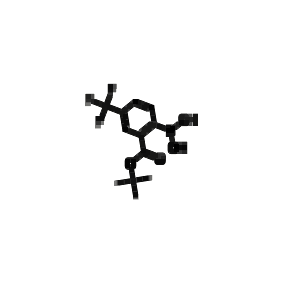 CC(C)(C)OC(=O)c1cc(C(F)(F)F)ccc1B(O)O